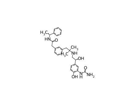 C[C@H](NC(=O)Cc1cccc(CC(C)(C)NC[C@@H](O)c2ccc(O)c(NC(N)=O)c2)c1)c1ccccc1